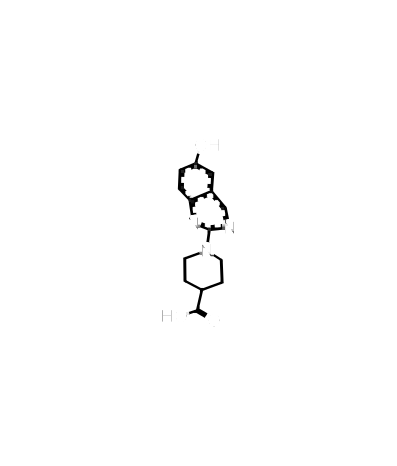 O=C(O)C1CCN(c2ncc3cc(O)ccc3n2)CC1